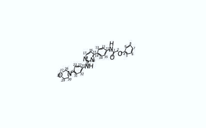 O=C(COc1ccccc1)Nc1ccc(-c2ccnc(Nc3ccc(N4CCOCC4)cc3)n2)cc1